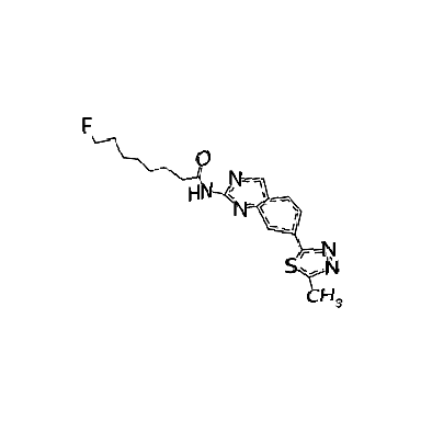 Cc1nnc(-c2ccc3cnc(NC(=O)CCCCCCCF)nc3c2)s1